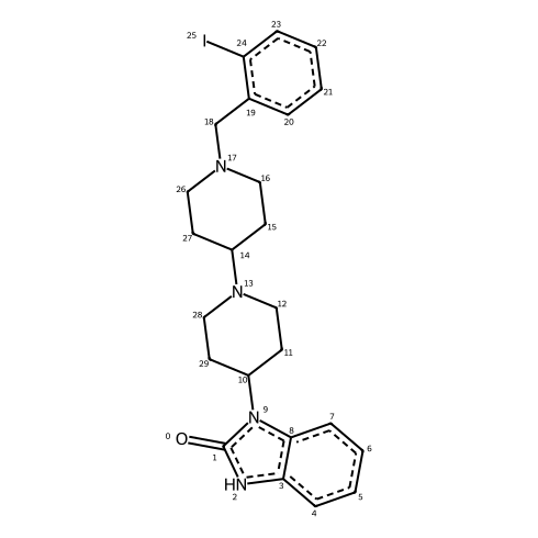 O=c1[nH]c2ccccc2n1C1CCN(C2CCN(Cc3ccccc3I)CC2)CC1